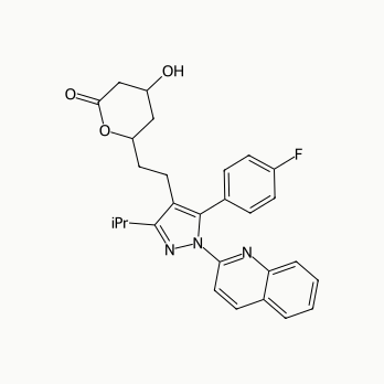 CC(C)c1nn(-c2ccc3ccccc3n2)c(-c2ccc(F)cc2)c1CCC1CC(O)CC(=O)O1